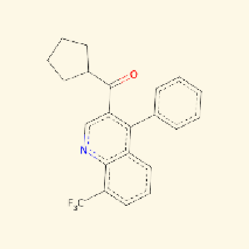 O=C(c1cnc2c(C(F)(F)F)cccc2c1-c1ccccc1)C1CCCC1